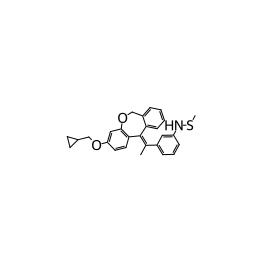 CSNc1cccc(/C(C)=C2\c3ccccc3COc3cc(OCC4CC4)ccc32)c1